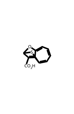 O=C(O)C1=C2C3=CC=CC=C2SC1O3